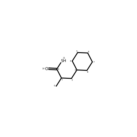 CC(CC1CCCCC1)C(=O)S